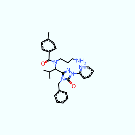 Cc1ccc(C(=O)N(CCCN)C(c2nn(-c3ccccn3)c(=O)n2Cc2ccccc2)C(C)C)cc1